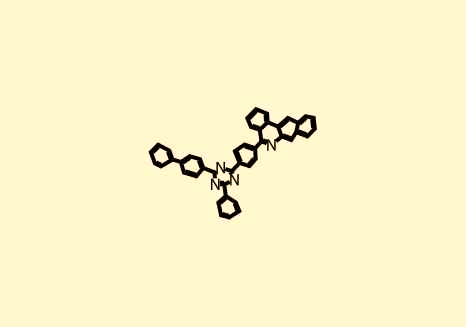 c1ccc(-c2ccc(-c3nc(-c4ccccc4)nc(-c4ccc(-c5nc6cc7ccccc7cc6c6ccccc56)cc4)n3)cc2)cc1